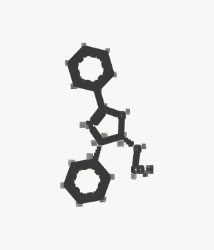 O=C(O)O[C@H]1OC(c2ccccc2)=N[C@H]1c1ccccc1